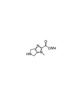 COC(=O)c1nc2c(n1C)CNC2